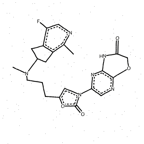 Cc1ncc(F)c2c1CC(N(C)CCCc1cn(-c3cnc4c(n3)NC(=O)CO4)c(=O)o1)C2